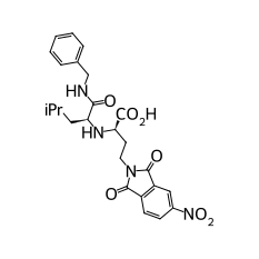 CC(C)C[C@H](N[C@H](CCN1C(=O)c2ccc([N+](=O)[O-])cc2C1=O)C(=O)O)C(=O)NCc1ccccc1